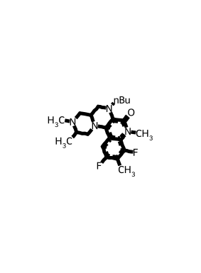 CCCCN1CC2CN(C)C(C)CN2c2c1c(=O)n(C)c1c(F)c(C)c(F)cc21